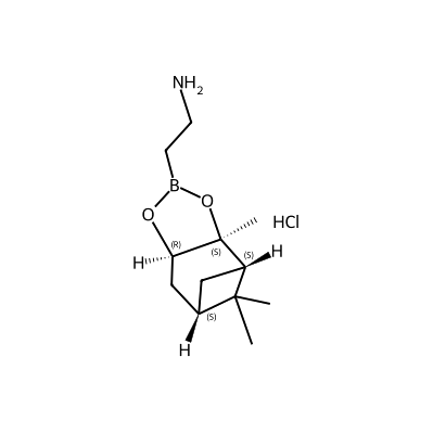 CC1(C)[C@@H]2C[C@H]3OB(CCN)O[C@@]3(C)[C@H]1C2.Cl